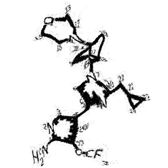 Nc1ncc(-c2cn(C3CC4(N5CCOCC5)CC3C4)c(CC3CC3)n2)cc1OC(F)(F)F